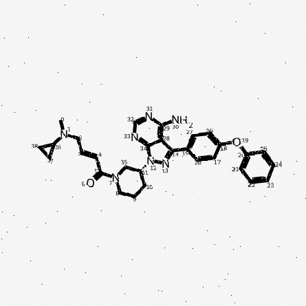 CN(C/C=C/C(=O)N1CCC[C@@H](n2nc(-c3ccc(Oc4ccccc4)cc3)c3c(N)ncnc32)C1)C1CC1